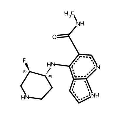 CNC(=O)c1cnc2[nH]ccc2c1N[C@@H]1CCNC[C@H]1F